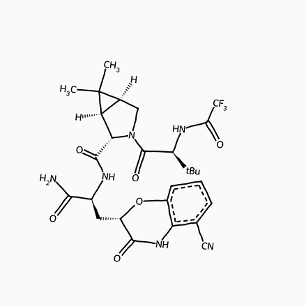 CC(C)(C)[C@H](NC(=O)C(F)(F)F)C(=O)N1C[C@H]2[C@@H]([C@H]1C(=O)N[C@@H](C[C@@H]1Oc3cccc(C#N)c3NC1=O)C(N)=O)C2(C)C